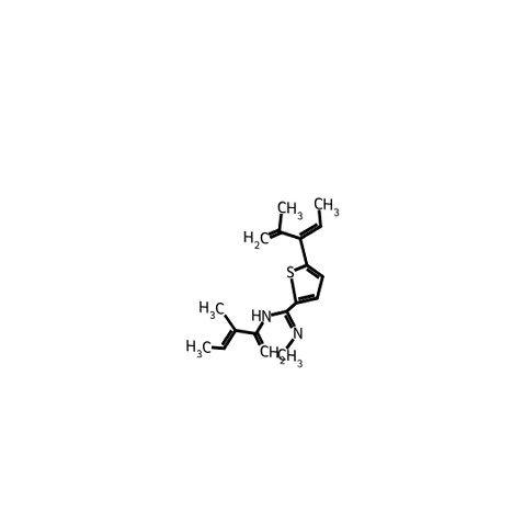 C=C(N/C(=N\C)c1ccc(/C(=C/C)C(=C)C)s1)/C(C)=C/C